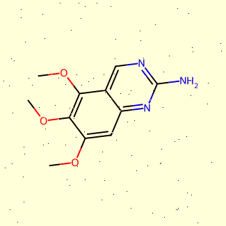 COc1cc2nc(N)ncc2c(OC)c1OC